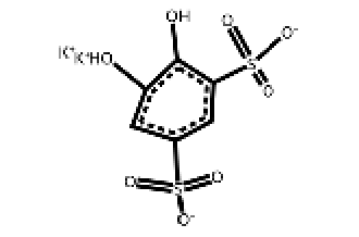 O=S(=O)([O-])c1cc(O)c(O)c(S(=O)(=O)[O-])c1.[K+].[K+]